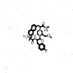 CNC(=O)C(Cc1ccc2ccccc2c1)N1CCN(C(=O)C(Cc2ccc(F)cc2)NC(=O)C(C)(C)N)C(COC)C1